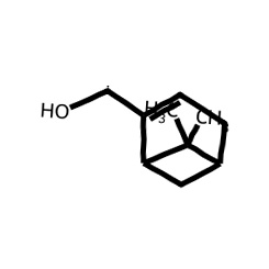 CC1(C)C2CC=C([CH]O)C1C2